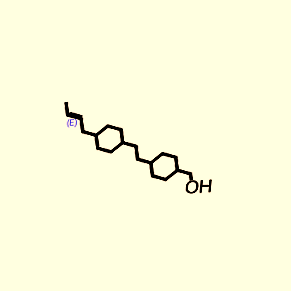 C/C=C/CC1CCC(CCC2CCC(CO)CC2)CC1